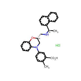 Cc1ccc(N2C[C@@H](CN[C@H](C)c3cccc4ccccc34)Oc3ccccc32)cc1C(=O)O.Cl